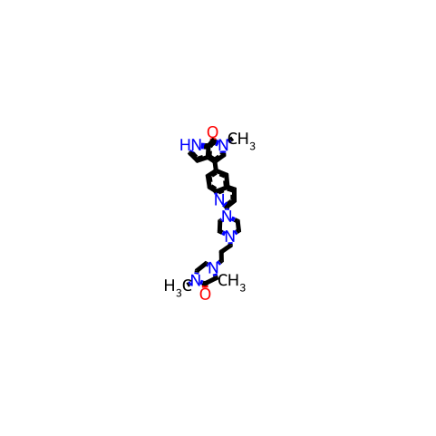 C[C@@H]1C(=O)N(C)CCN1CCCN1CCN(c2ccc3cc(-c4cn(C)c(=O)c5[nH]ccc45)ccc3n2)CC1